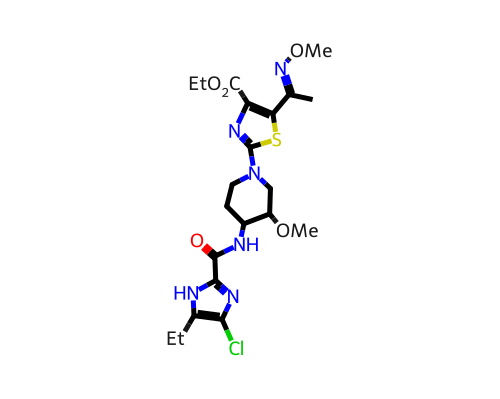 CCOC(=O)c1nc(N2CCC(NC(=O)c3nc(Cl)c(CC)[nH]3)C(OC)C2)sc1C(C)=NOC